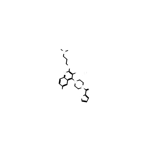 CCOC(=O)c1c(OCCCN(C)C)nc2ccc(Cl)cc2c1N1CCN(C(=O)c2ccco2)CC1